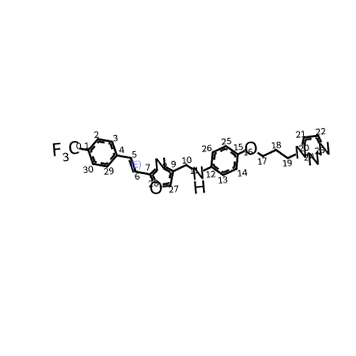 FC(F)(F)c1ccc(/C=C/c2nc(CNc3ccc(OCCCn4ccnn4)cc3)co2)cc1